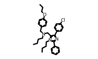 CCCCN(Cc1ccc(OCCC)cc1)Cc1c(-c2ccc(Cl)cc2)nc(-c2ccccc2)n1CCCC